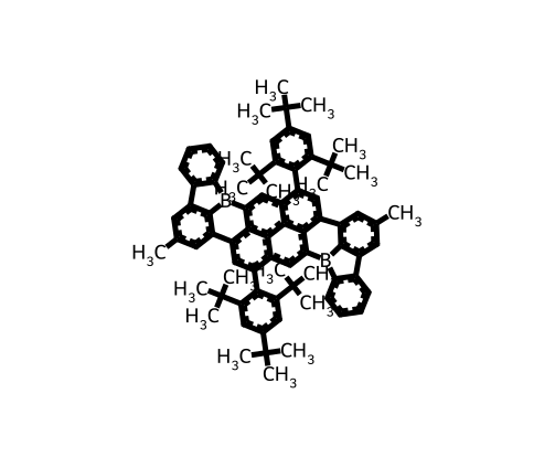 Cc1cc2c3c(c1)-c1cc(-c4c(C(C)(C)C)cc(C(C)(C)C)cc4C(C)(C)C)c4cc5c6c(cc(-c7c(C(C)(C)C)cc(C(C)(C)C)cc7C(C)(C)C)c7cc(c1c4c76)B3c1ccccc1-2)-c1cc(C)cc2c1B5c1ccccc1-2